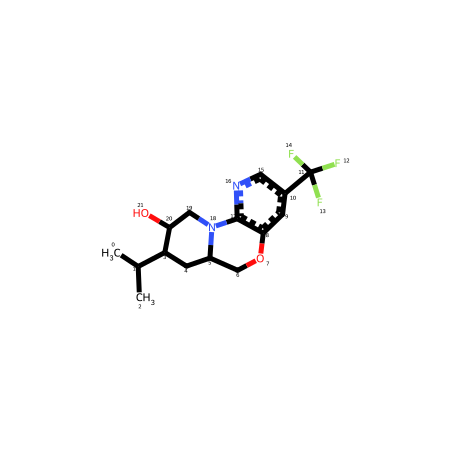 CC(C)C1CC2COc3cc(C(F)(F)F)cnc3N2CC1O